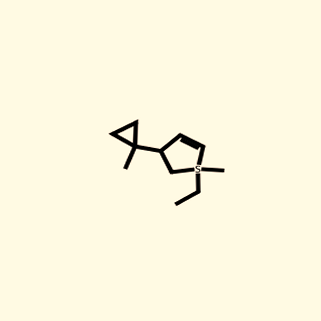 CCS1(C)C=CC(C2(C)CC2)C1